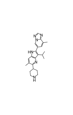 Cc1cc2[nH]c(-c3cc(C)c4ncnn4c3)c(C(C)C)c2nc1C1CCNCC1